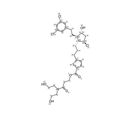 O=C(OCCC(=O)N(CCO)CCO)c1ccc(CCC[C@@H]2[C@@H](CCc3cc(Cl)cc(Cl)c3)[C@H](O)C[C@H]2Cl)s1